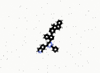 CC1(C)c2ccc(-c3ccc(-c4cc(-c5ccc6ccncc6c5)nc(-c5ccccc5)n4)c4ccccc34)cc2-c2ccc3ccccc3c21